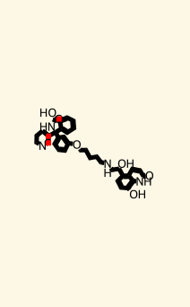 O=C(O)NC(c1ccccc1)(c1cccc(OCCCCCNCC(O)c2ccc(O)c3[nH]c(=O)ccc23)c1)C1CN2CCC1CC2